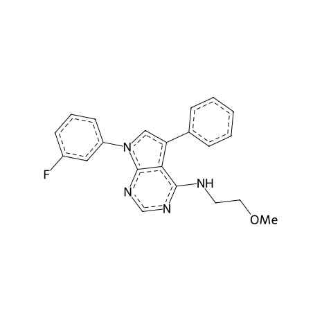 COCCNc1ncnc2c1c(-c1ccccc1)cn2-c1cccc(F)c1